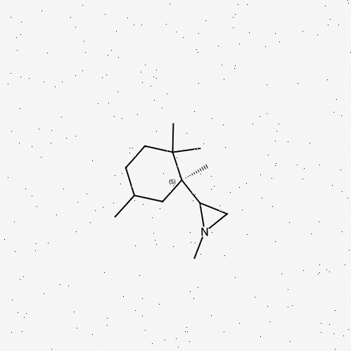 CC1CCC(C)(C)[C@@](C)(C2CN2C)C1